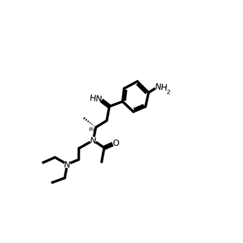 CCN(CC)CCN(C(C)=O)[C@H](C)CC(=N)c1ccc(N)cc1